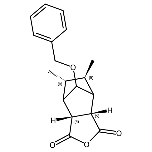 C[C@H]1C2C(OCc3ccccc3)C([C@@H]1C)[C@@H]1C(=O)OC(=O)[C@H]21